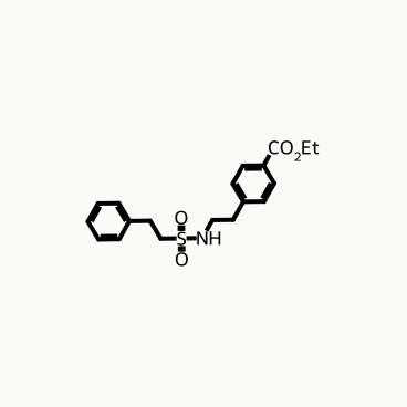 CCOC(=O)c1ccc(CCNS(=O)(=O)CCc2ccccc2)cc1